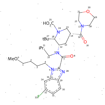 COCCCCn1c(C(=O)N(CC(C)C)[C@H]2C[C@@H](C(=O)N3CCOCC3)CN(C(=O)O)C2C(C)(C)C)nc2ccc(F)cc21